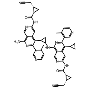 Cc1ccncc1-c1nc(NC2CC2c2c(-c3cnccc3C)nc(N)c3cnc(NC(=O)[C@@H]4C[C@H]4CC#N)cc23)c2cnc(NC(=O)[C@H]3C[C@@H]3CC#N)cc2c1C1CC1